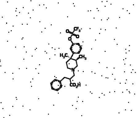 C[C@H]1CN(CC(Cc2ccccc2)C(=O)O)CC[C@@]1(C)c1cccc(OS(=O)(=O)C(F)(F)F)c1